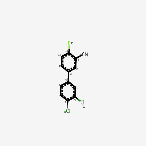 N#Cc1cc(-c2ccc(Cl)c(Cl)c2)ccc1F